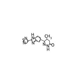 CC1CC(=O)NN=C1c1ccc2[nH]c(-c3cnsn3)nc2c1